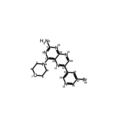 Nc1nc(N2CCOCC2)c2nc(-c3cncc(Br)c3)cnc2n1